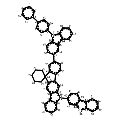 c1ccc(-c2ccc(-n3c4ccccc4c4cc(-c5ccc6c(c5)C5(CCCCC5)c5cc7c8ccccc8n(-c8ccc9c(c8)oc8ccccc89)c7cc5-6)ccc43)cc2)cc1